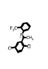 C/C(=N\c1ccccc1C(F)(F)F)c1cc(Cl)ccc1Cl